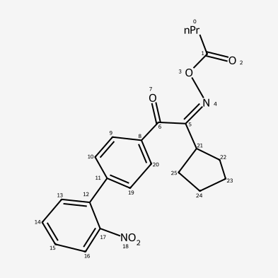 CCCC(=O)O/N=C(\C(=O)c1ccc(-c2ccccc2[N+](=O)[O-])cc1)C1CCCC1